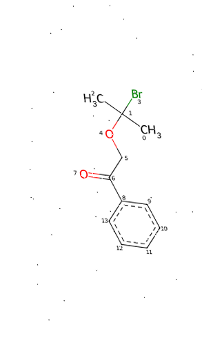 CC(C)(Br)OCC(=O)c1ccccc1